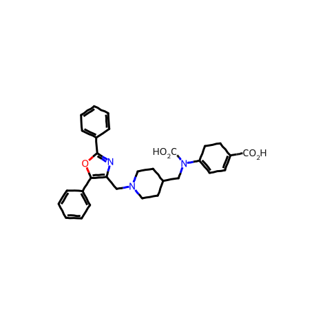 O=C(O)C1=CC=C(N(CC2CCN(Cc3nc(-c4ccccc4)oc3-c3ccccc3)CC2)C(=O)O)CC1